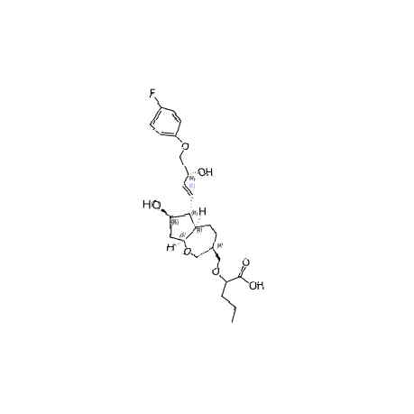 CCCC(OC[C@@H]1CC[C@@H]2[C@@H](/C=C/[C@@H](O)COc3ccc(F)cc3)[C@H](O)C[C@@H]2OC1)C(=O)O